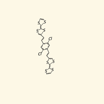 Clc1cc(/C=C/C2=CSC(=C3SC=CS3)S2)c(Cl)cc1/C=C/C1=CSC(=C2SC=CS2)S1